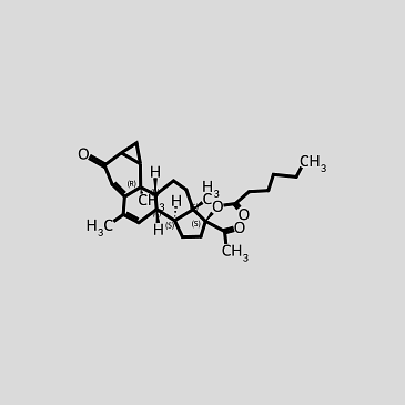 CCCCCC(=O)O[C@@]1(C(C)=O)CC[C@H]2[C@@H]3C=C(C)C4=CC(=O)C5CC5[C@@]4(C)[C@@H]3CC[C@@]21C